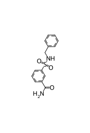 NC(=O)c1cccc(S(=O)(=O)NCc2ccccc2)c1